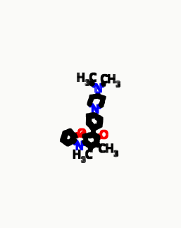 CCN(CC)C1CCN(c2ccc(-c3c4oc5ccccc5nc-4c(C)c(C)c3=O)cc2)CC1